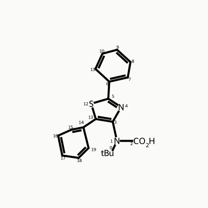 CC(C)(C)N(C(=O)O)c1nc(-c2ccccc2)sc1-c1ccccc1